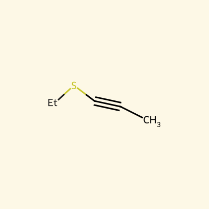 CC#CSCC